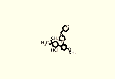 CCC1(CC)CCC(c2ccc(OC)cc2N2CCN(CC3CCOCC3)CC2)CC1.Cl